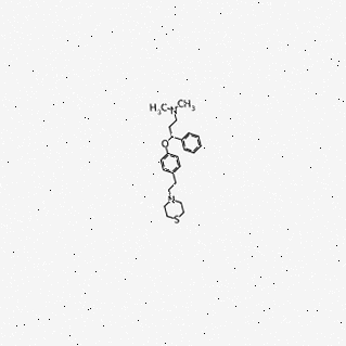 CN(C)CCC(Oc1ccc(CCN2CCSCC2)cc1)c1ccccc1